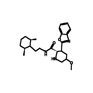 COC1CN[C@H](C(=O)NCCC2[C@H](C)CCC[C@@H]2C)C(c2nc3ccccc3o2)C1